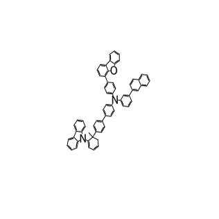 CC1(c2ccc(-c3ccc(N(c4ccc(-c5cccc6c5oc5ccccc56)cc4)c4cccc(-c5ccc6ccccc6c5)c4)cc3)cc2)CC=CC=C1n1c2ccccc2c2ccccc21